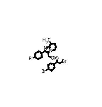 Cc1cccn2c(CO)c(-c3ccc(Br)cc3)nc12.O=C(CBr)c1ccc(Br)cc1